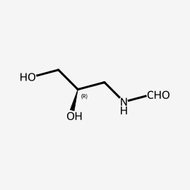 O=CNC[C@@H](O)CO